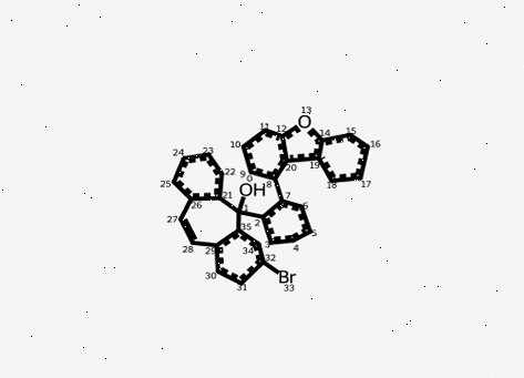 OC1(c2ccccc2-c2cccc3oc4ccccc4c23)c2ccccc2C=Cc2ccc(Br)cc21